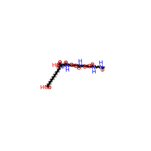 CC(=O)NCCCCNC(=O)COCCOCCNC(=O)COCCOCCNC(=O)CC[C@H](NC(=O)CCCCCCCCCCCCCCC(=O)O)C(=O)O